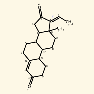 C/C=C1/C(=O)CC2C3CCC4=CC(=O)CCC4C3CCC12C